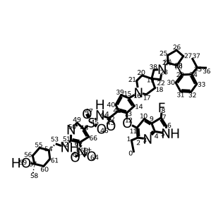 CCc1nc2[nH]cc(F)c2cc1Oc1cc(N2CCC3(CC2)CN([C@H]2CCC[C@H]2c2ccccc2C(C)C)C3)ccc1C(=O)NS(=O)(=O)c1cnc(NC[C@H]2CC[C@](C)(O)CC2)c([N+](=O)[O-])c1